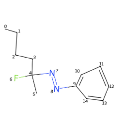 CCCCC(C)(F)N=Nc1ccccc1